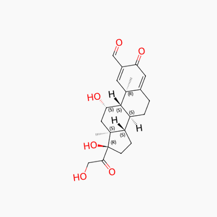 C[C@]12C=C(C=O)C(=O)C=C1CC[C@@H]1[C@@H]2[C@@H](O)C[C@@]2(C)[C@H]1CC[C@]2(O)C(=O)CO